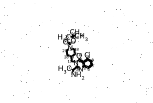 C[C@H](N)c1nc2cccc(Cl)c2c(=O)n1CC1CCN(C(=O)OC(C)(C)C)CC1